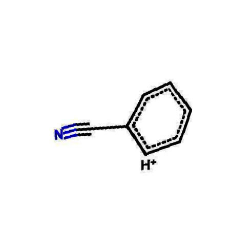 N#Cc1ccccc1.[H+]